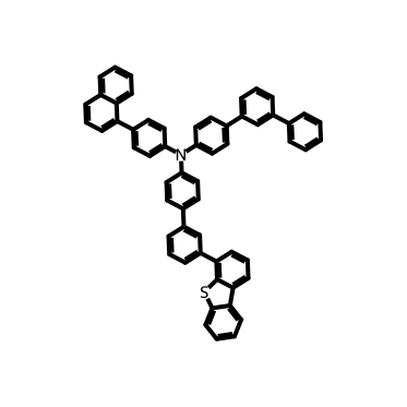 c1ccc(-c2cccc(-c3ccc(N(c4ccc(-c5cccc(-c6cccc7c6sc6ccccc67)c5)cc4)c4ccc(-c5cccc6ccccc56)cc4)cc3)c2)cc1